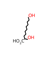 O=C(O)C(CO)CCCCCCCCCO